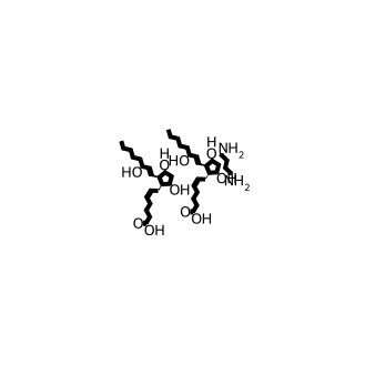 CCCCC[C@H](O)/C=C/[C@@H]1[C@@H](C/C=C\CCCC(=O)O)[C@@H](O)C[C@H]1O.CCCCC[C@H](O)/C=C/[C@@H]1[C@@H](C/C=C\CCCC(=O)O)[C@@H](O)C[C@H]1O.NCCCCN